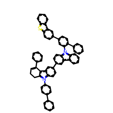 C1=C(c2ccccc2)c2c(n(-c3ccc(-c4ccccc4)cc3)c3ccc(-c4ccc5c(c4)c4ccccc4n5-c4cc(-c5ccc6sc7ccccc7c6c5)ccc4-c4ccccc4)cc23)CC1